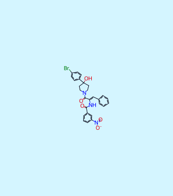 O=C(N/C(=C\c1ccccc1)C(=O)N1CCC(O)(c2ccc(Br)cc2)CC1)c1cccc([N+](=O)[O-])c1